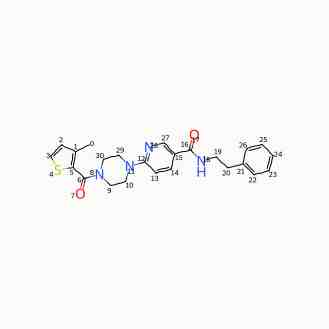 Cc1ccsc1C(=O)N1CCN(c2ccc(C(=O)NCCc3ccccc3)cn2)CC1